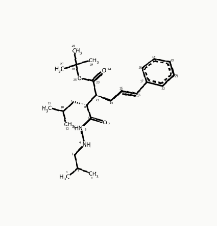 CC(C)CNNC(=O)[C@H](CC(C)C)[C@H](CC=Cc1ccccc1)C(=O)OC(C)(C)C